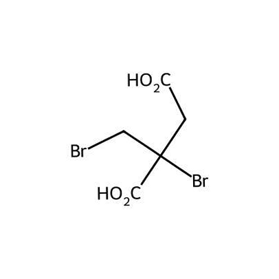 O=C(O)CC(Br)(CBr)C(=O)O